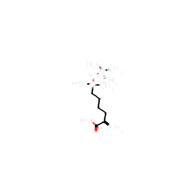 C=C(CCCC[Si](C)(C)O[Si](C)(C)C)C(=O)O